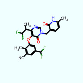 Cc1ccc(Cn2cnc(C(C)C(F)F)c(Oc3cc(C(F)F)cc(C#N)c3C)c2=O)c(=O)[nH]1